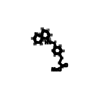 COC(=O)CCc1ccc(CNc2cccc3ncccc23)cc1